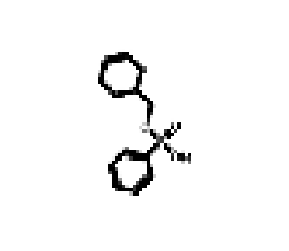 O=P(O)(OCC1CC=CCC1)c1ccccc1